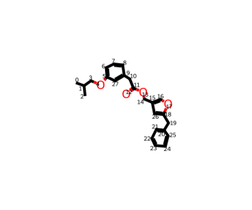 CC(C)COc1cccc(CC(=O)OCc2coc(Cc3ccccc3)c2)c1